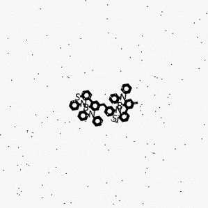 Cc1cc2c3c(c1)N(c1ccccc1)c1ccccc1B3N1c3cc(Cc4cc5c6c(c4)N(c4ccccc4)c4ccccc4B6N4c6ccccc6Sc6cccc-5c64)ccc3[Si](C)(C)c3cccc-2c31